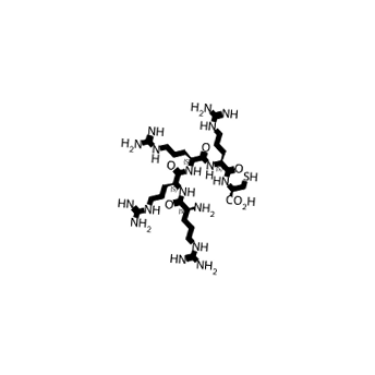 N=C(N)NCCC[C@H](NC(=O)[C@H](CCCNC(=N)N)NC(=O)[C@H](CCCNC(=N)N)NC(=O)[C@@H](N)CCCNC(=N)N)C(=O)N[C@@H](CS)C(=O)O